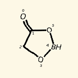 O=C1COBO1